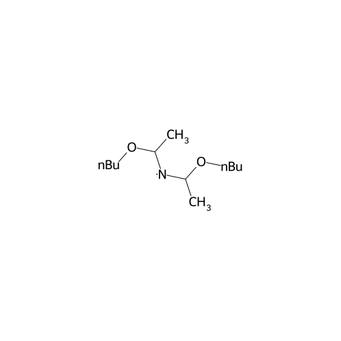 CCCCOC(C)[N]C(C)OCCCC